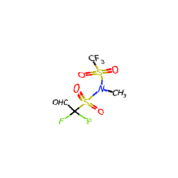 CN(S(=O)(=O)C(F)(F)F)S(=O)(=O)C(F)(F)C=O